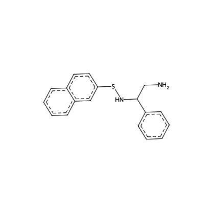 NCC(NSc1ccc2ccccc2c1)c1ccccc1